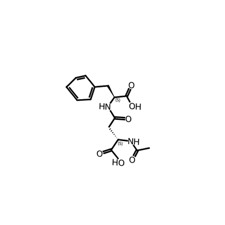 CC(=O)N[C@@H](CC(=O)N[C@@H](Cc1ccccc1)C(=O)O)C(=O)O